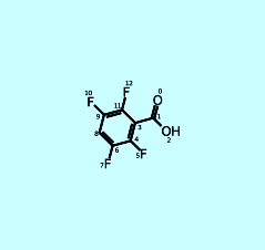 O=C(O)c1c(F)c(F)cc(F)c1F